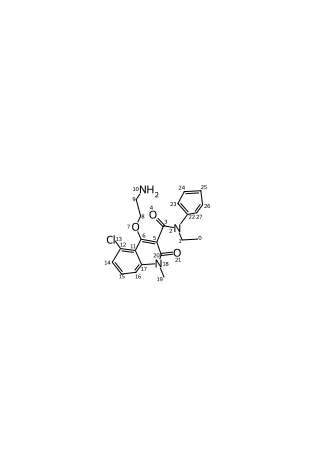 CCN(C(=O)c1c(OCCN)c2c(Cl)cccc2n(C)c1=O)c1ccccc1